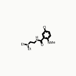 CCN(CC)CCNC(=O)c1cc(Cl)ccc1NC